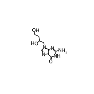 Nc1nc2c(ncn2CC(O)CCO)c(=O)[nH]1